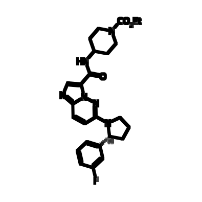 CCOC(=O)N1CCC(NC(=O)c2cnc3ccc(N4CCC[C@@H]4c4cccc(F)c4)nn23)CC1